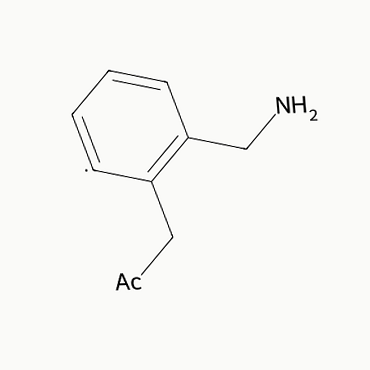 CC(=O)Cc1[c]cccc1CN